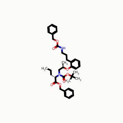 CCC[C@@H](C(=O)OCc1ccccc1)N(C[C@@H](C)Oc1ccccc1CCCNC(=O)OCc1ccccc1)C(=O)OC(C)(C)C